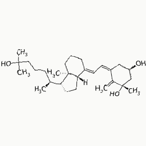 C=C1/C(=C\C=C2/CCC[C@]3(C)[C@@H]([C@@H](C)CCCC(C)(C)O)CC[C@@H]23)C[C@@H](O)C[C@]1(C)O